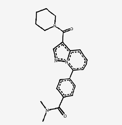 CN(C)C(=O)c1ccc(-c2cccc3c(C(=O)N4CCCCC4)cnn23)cc1